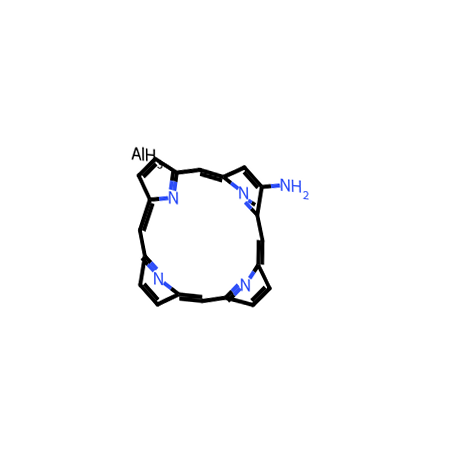 NC1=CC2=CC3=NC(=CC4=NC(=CC5=NC(=CC1=N2)C=C5)C=C4)C=C3.[AlH3]